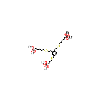 CCO[Si](CCCCCSSCCc1ccc(CSCCC[Si](OCC)(OCC)OCC)cc1CCSSCCCCC[Si](OCC)(OCC)OCC)(OCC)OCC